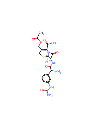 CC(=O)OCC1=C(C(=O)O)N2C(=O)[C@@H](NC(=O)C(N)c3cccc(NC(N)=O)c3)[C@H]2SC1